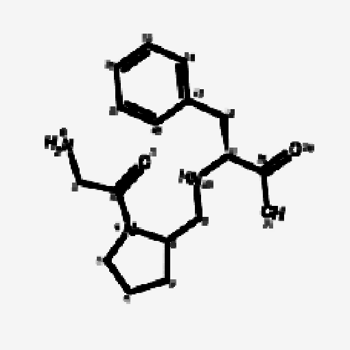 NCC(=O)N1CCCC1CN[C@@H](Cc1ccccc1)C(=O)O